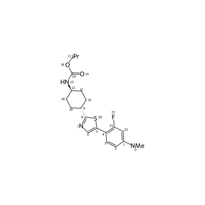 CNc1ccc(-c2cnc([C@H]3CC[C@H](NC(=O)OC(C)C)CC3)s2)c(F)c1